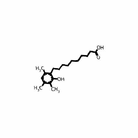 Cc1cc(C)c(CCCCCCCCCC(=O)O)c(O)c1C